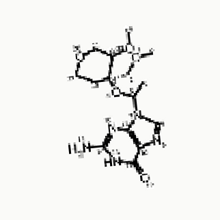 COC[C@]1(OC(C)n2cnc3c(=O)[nH]c(N)nc32)CCOCC1OC